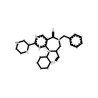 C=CC1CN(Cc2ccccc2)C(=O)c2cnc(C3CNCCO3)nc2N1C1CCCCC1